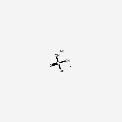 O=P(O)(O)O.[Nb].[V]